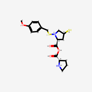 COc1ccc(CSN2CC(S)C[C@H]2C(=O)OC(=O)[C@@H]2CCCN2)cc1